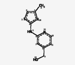 Cc1csc(Nc2cc(CO)ccn2)n1